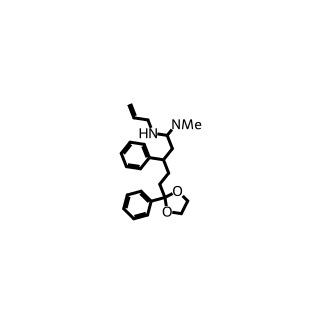 C=CCNC(CC(CCC1(c2ccccc2)OCCO1)c1ccccc1)NC